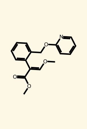 CO/C=C(/C(=O)OC)c1ccccc1COc1ccccn1